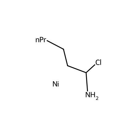 CCCCCC(N)Cl.[Ni]